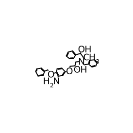 CC(C(O)c1ccccc1)N(Cc1ccccc1)C[C@H](O)COc1ccc(OCc2ccccc2)c(N)c1